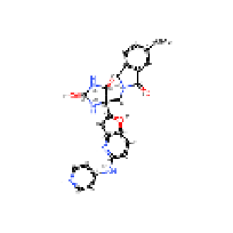 COc1ccc2c(c1)C(=O)N(C[C@@]1(c3cc4nc(Nc5ccncc5)ccc4o3)NC(=O)NC1=O)C2